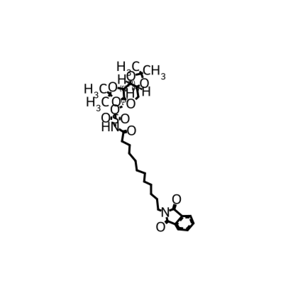 CC1(C)O[C@@H]2[C@@H](CO[C@@]3(COS(=O)(=O)NC(=O)CCCCCCCCCCCN4C(=O)c5ccccc5C4=O)OC(C)(C)O[C@@H]23)O1